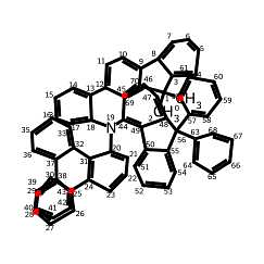 CC1(C)c2ccccc2-c2ccc(-c3ccccc3N(c3cccc(-c4ccccc4)c3-c3ccccc3-c3ccccc3)c3cccc4c3-c3ccccc3C4(c3ccccc3)c3ccccc3)cc21